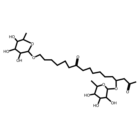 CC(=O)CC(CCCCCCC(=O)CCCCCCOC1OC(C)C(O)C(O)C1O)OC1OC(C)C(O)C(O)C1O